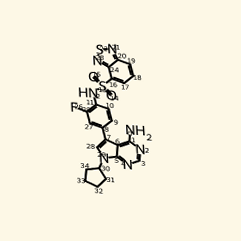 Nc1ncnc2c1c(-c1ccc(NS(=O)(=O)c3cccc4nsnc34)c(F)c1)cn2C1CCCC1